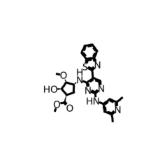 COC(=O)[C@@H]1C[C@@H](Nc2nc(Nc3cc(C)nc(C)c3)ncc2-c2nc3ccccc3s2)[C@@H](OC)[C@@H]1O